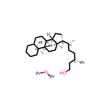 CC(C)OC(C)C.CC(C)[C@H](CCO)CC[C@@H](C)[C@H]1CC[C@H]2[C@@H]3CCC4CCCC[C@]4(C)[C@H]3CC[C@]12C